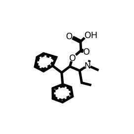 CCC(C(OC(=O)C(=O)O)C(c1ccccc1)c1ccccc1)N(C)C